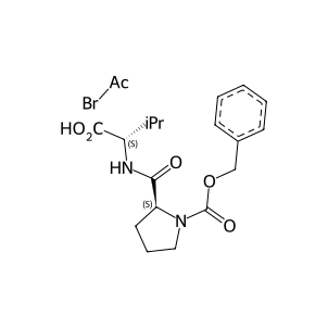 CC(=O)Br.CC(C)[C@H](NC(=O)[C@@H]1CCCN1C(=O)OCc1ccccc1)C(=O)O